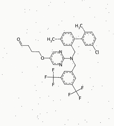 Cc1ccc(-c2cc(Cl)ccc2C)c(CN(Cc2cc(C(F)(F)F)cc(C(F)(F)F)c2)c2ncc(OCCCC=O)cn2)c1